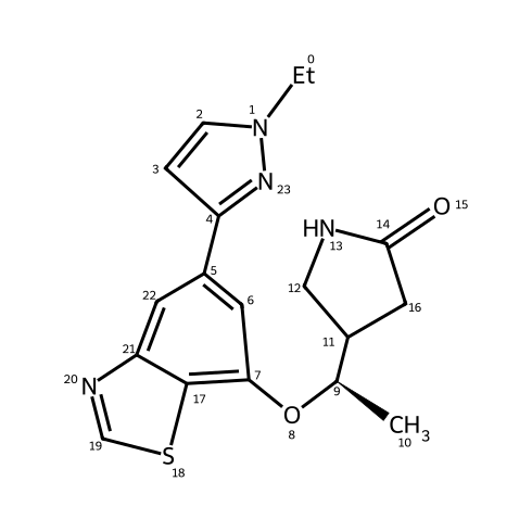 CCn1ccc(-c2cc(O[C@H](C)C3CNC(=O)C3)c3scnc3c2)n1